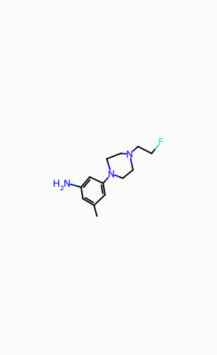 Cc1cc(N)cc(N2CCN(CCF)CC2)c1